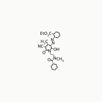 CCOC(=O)c1ccccc1N=Nc1c(C)c(C#N)c(=O)n(CCN(C)C(=O)c2ccccc2)c1O